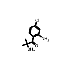 BC(C)(C)C(=O)c1ccc(Cl)cc1N